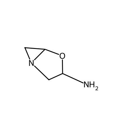 NC1CN2CC2O1